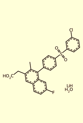 Cc1c(CC(=O)O)cc2ccc(F)cc2c1-c1ccc(S(=O)(=O)c2cccc(Cl)c2)cc1.O.[LiH]